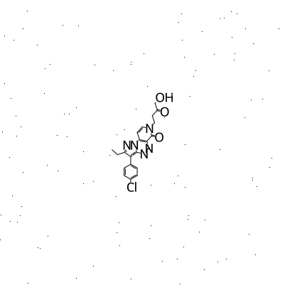 CCc1nn2c(nnc3c(=O)n(CCC(=O)CO)ccc32)c1-c1ccc(Cl)cc1